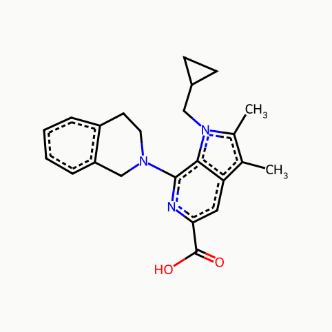 Cc1c(C)n(CC2CC2)c2c(N3CCc4ccccc4C3)nc(C(=O)O)cc12